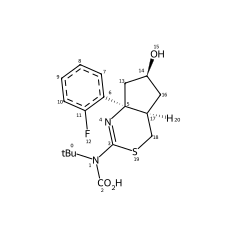 CC(C)(C)N(C(=O)O)C1=N[C@@]2(c3ccccc3F)C[C@@H](O)C[C@H]2CS1